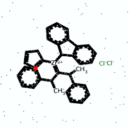 CC([C](C(C)c1ccccc1)=[Zr+2]([C]1=CC=CC1)[CH]1c2ccccc2-c2ccccc21)c1ccccc1.[Cl-].[Cl-]